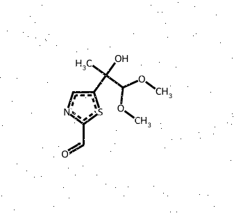 COC(OC)C(C)(O)c1cnc(C=O)s1